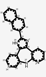 c1cnc2c(c1)-c1nc(-c3ccc4ccccc4c3)[nH]c1-c1ccncc1N2